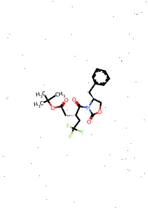 CC(C)(C)OC(=O)C[C@@H](CC(F)(F)F)C(=O)N1C(=O)OC[C@@H]1Cc1ccccc1